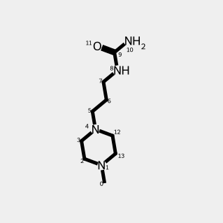 CN1CCN(CCCNC(N)=O)CC1